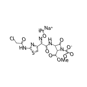 COC(=O)C1C(NC(=O)C(=NOC(C)C)c2csc(NC(=O)CCl)n2)C(=O)N1S(=O)(=O)[O-].[Na+]